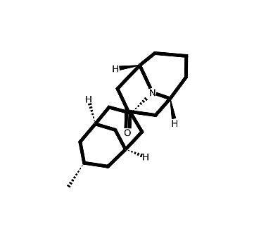 C[C@@H]1C[C@@H]2C[C@H](C1)C[C@@H](N1[C@@H]3CCC[C@H]1CC(=O)C3)C2